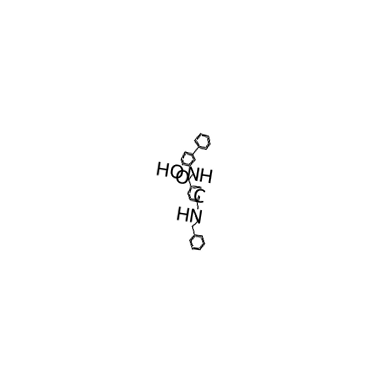 O=C(Nc1cc(-c2ccccc2)ccc1O)c1ccc(CNCCc2ccccc2)cc1